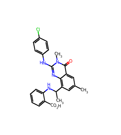 Cc1cc(C(C)Nc2ccccc2C(=O)O)c2nc(Nc3ccc(Cl)cc3)n(C)c(=O)c2c1